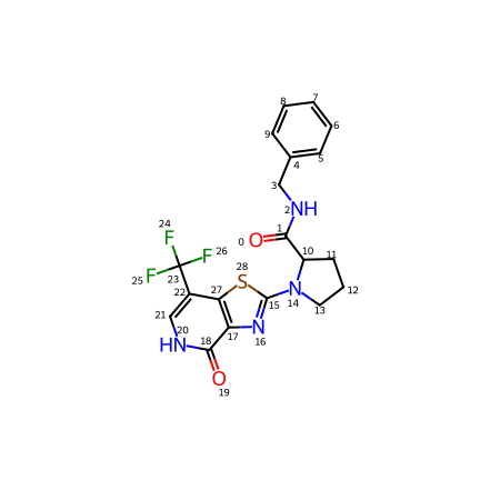 O=C(NCc1ccccc1)C1CCCN1c1nc2c(=O)[nH]cc(C(F)(F)F)c2s1